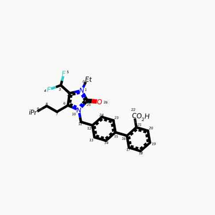 CCn1c(C(F)F)c(CCC(C)C)n(Cc2ccc(-c3ccccc3C(=O)O)cc2)c1=O